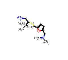 CN(C)Cc1ccc(CSC(CN)[Si](C)(C)C)o1